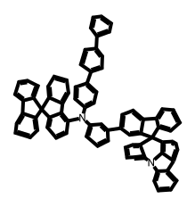 c1ccc(-c2ccc(-c3ccc(N(c4cccc(-c5ccc6c(c5)C5(c7ccccc7-6)c6ccccc6-n6c7ccccc7c7cccc5c76)c4)c4cccc5c4-c4ccccc4C54c5ccccc5-c5ccccc54)cc3)cc2)cc1